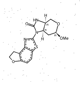 CO[C@H]1C[C@@H]2[C@H](CO1)NC(=O)N2c1nc2c3c(ccc2s1)OCC3